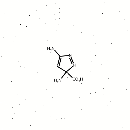 NC1=CC(N)(C(=O)O)N=N1